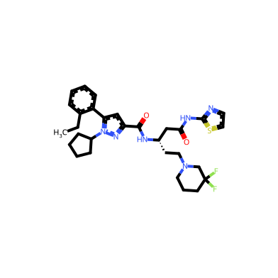 CCc1ccccc1-c1cc(C(=O)N[C@@H](CCN2CCCC(F)(F)C2)CC(=O)Nc2nccs2)nn1C1CCCC1